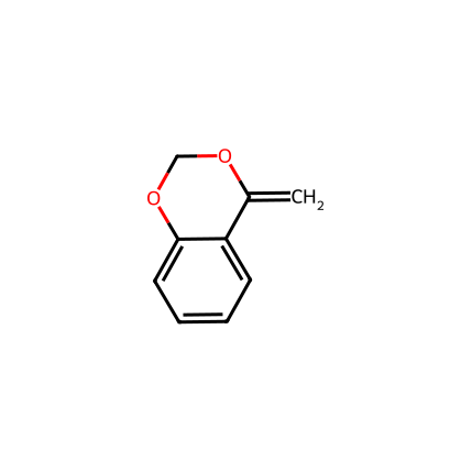 C=C1OCOc2ccccc21